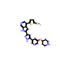 Cc1ccc(-c2cncc3[nH]c(-c4cc(-c5cncc(OC6CCNCC6)c5)[nH]n4)cc23)s1